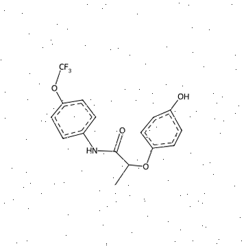 CC(Oc1ccc(O)cc1)C(=O)Nc1ccc(OC(F)(F)F)cc1